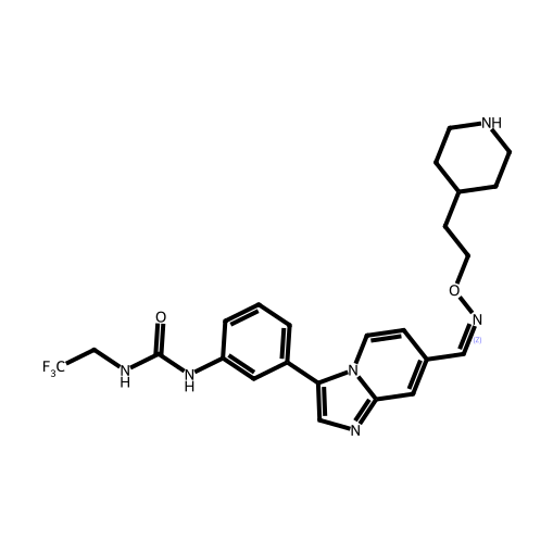 O=C(NCC(F)(F)F)Nc1cccc(-c2cnc3cc(/C=N\OCCC4CCNCC4)ccn23)c1